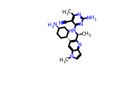 Cc1nc(N)nc(N[C@@H](C)c2nc3ccn(C)c3cc2[C@H]2CC[C@H](N)CC2)c1C#N